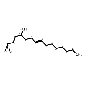 C=CCCC(C)CCC=CCCCCCCC